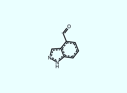 O=[C]c1cccc2[nH]ncc12